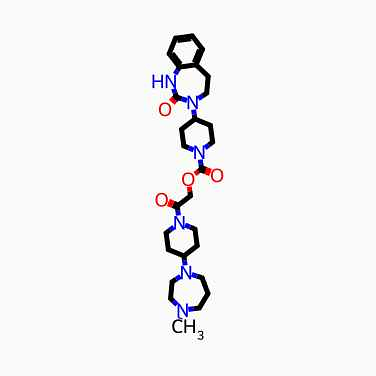 CN1CCCN(C2CCN(C(=O)COC(=O)N3CCC(N4CCc5ccccc5NC4=O)CC3)CC2)CC1